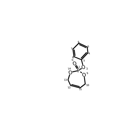 O=P1(Oc2ccccc2)OCC=CCO1